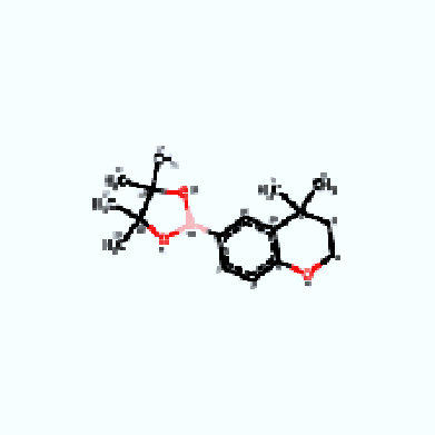 CC1(C)CCOc2ccc(B3OC(C)(C)C(C)(C)O3)cc21